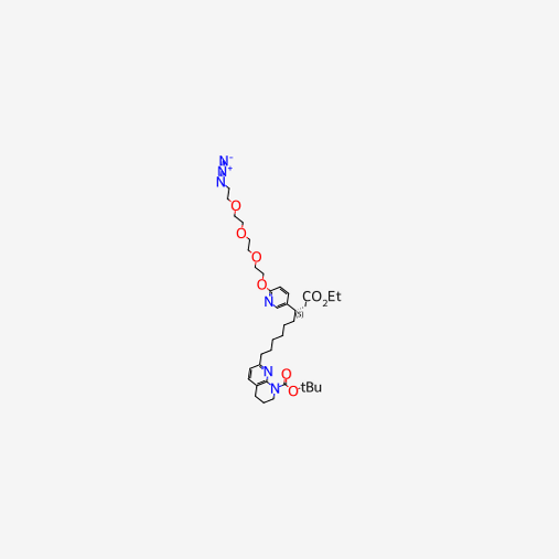 CCOC(=O)C[C@H](CCCCCCc1ccc2c(n1)N(C(=O)OC(C)(C)C)CCC2)c1ccc(OCCOCCOCCOCCN=[N+]=[N-])nc1